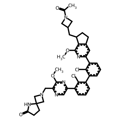 COc1nc(-c2cccc(-c3cccc(-c4cc5c(c(OC)n4)C(CC4CN(C(C)=O)C4)CC5)c3Cl)c2Cl)cnc1CN1CC2(CCC(=O)N2)C1